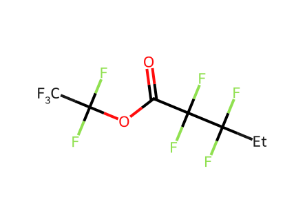 CCC(F)(F)C(F)(F)C(=O)OC(F)(F)C(F)(F)F